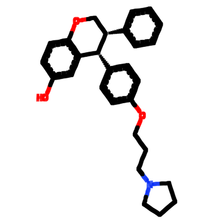 Oc1ccc2c(c1)[C@@H](c1ccc(OCCCN3CCCC3)cc1)[C@@H](c1ccccc1)CO2